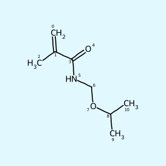 C=C(C)C(=O)NCOC(C)C